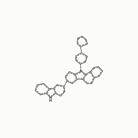 c1ccc(-c2ccc(-n3c4ccc(-c5ccc6[nH]c7ccccc7c6c5)cc4c4ccc5ccccc5c43)cc2)cc1